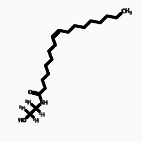 [2H]C([2H])(O)C([2H])([2H])NC(=O)CCCCCCC/C=C\CCCCCCCC